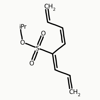 C=C/C=C\C(=C/C=C)S(=O)(=O)OC(C)C